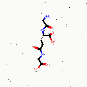 NCC(=O)N[C@@H](CCC(=O)NCC(=O)O)C(=O)O